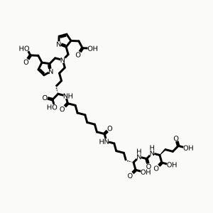 O=C(O)CC[C@H](NC(=O)N[C@@H](CCCCNC(=O)CCCCCCC(=O)N[C@@H](CCCCN(CC1=NC=CC1CC(=O)O)CC1=NC=CC1CC(=O)O)C(=O)O)C(=O)O)C(=O)O